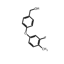 Cc1ccc(Oc2ccc(CO)cc2)cc1F